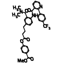 COC(=O)c1ccc(OC(=O)CCCc2ccc(NC(=O)c3cccnc3-c3ccc(C(F)(F)F)cc3)c(C(=O)N(C)C)c2)cc1